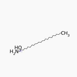 CCCCCCCCCCCCCCCCCCCCCCC/C(O)=C/N